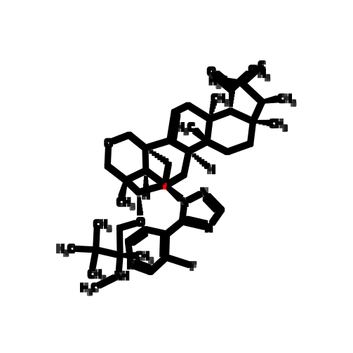 CN[C@@](C)(CO[C@H]1[C@H](n2ncnc2-c2ccncc2F)C[C@@]23COC[C@]1(C)[C@@H]2CC[C@H]1C3=CC[C@@]2(C)[C@H](C(=O)O)[C@@](C)([C@H](C)C(C)C)CC[C@]12C)C(C)(C)C